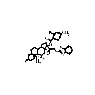 Cc1ccc(C(=O)O[C@]2(C(=O)CSc3nc4ccccc4s3)CCC3C4CCC5=CC(=O)CCC5(C)C4[C@@H](O)CC32C)c(F)c1